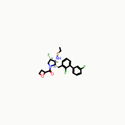 CCSN[C@H]1[C@@H](F)CN(C(=O)C2CCO2)[C@H]1Cc1cccc(-c2cccc(F)c2)c1F